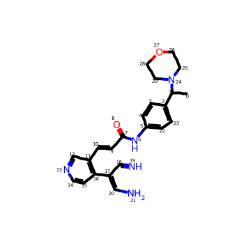 CC(c1ccc(NC(=O)/C=C/c2cnccc2/C(C=N)=C/N)cc1)N1CCOCC1